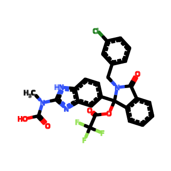 CN(C(=O)O)c1nc2cc(C3(OC(=O)C(F)(F)F)c4ccccc4C(=O)N3Cc3cccc(Cl)c3)ccc2[nH]1